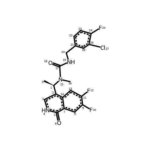 C[C@H](c1c[nH]c(=O)c2cc(F)c(F)cc12)N(C)C(=O)NCc1ccc(F)c(Cl)c1